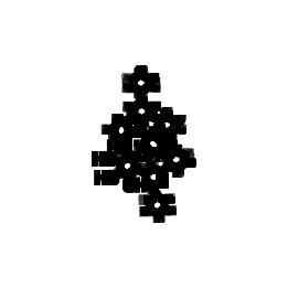 Oc1c(O)c(O)c(-c2cc(-c3ccccc3)nc(-c3cccc4sc5cc(-n6c7ccccc7c7cc(-c8ccccc8)cc(-c8ccccc8)c76)ccc5c34)c2)c(O)c1O